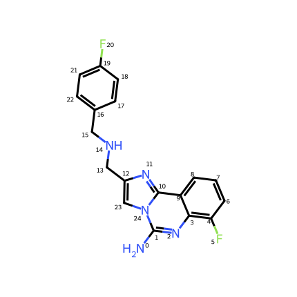 Nc1nc2c(F)cccc2c2nc(CNCc3ccc(F)cc3)cn12